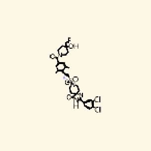 Cc1cc(C(=O)N2CCC(O)(CF)CC2)cc(C)c1/C=C/S(=O)(=O)N1CCC2(CC1)N=C(c1ccc(Cl)c(Cl)c1)NC2=O